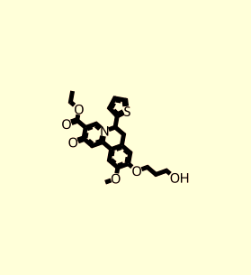 CCOC(=O)c1cn2c(cc1=O)-c1cc(OC)c(OCCCO)cc1CC2c1cccs1